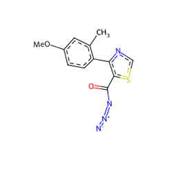 COc1ccc(-c2ncsc2C(=O)N=[N+]=[N-])c(C)c1